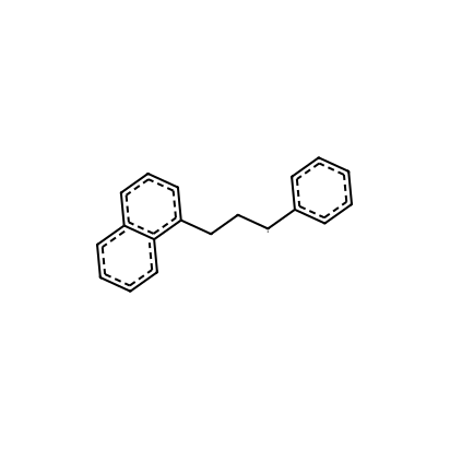 [CH](CCc1cccc2ccccc12)c1ccccc1